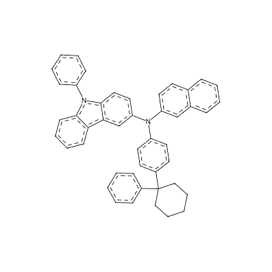 c1ccc(-n2c3ccccc3c3cc(N(c4ccc(C5(c6ccccc6)CCCCC5)cc4)c4ccc5ccccc5c4)ccc32)cc1